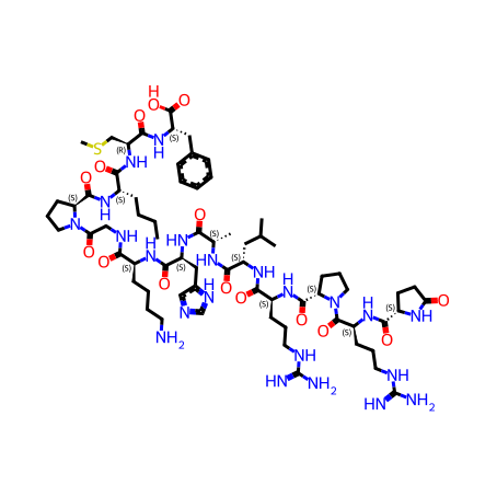 CCCC[C@H](NC(=O)[C@@H]1CCCN1C(=O)CNC(=O)[C@H](CCCCN)NC(=O)[C@H](Cc1cnc[nH]1)NC(=O)[C@H](C)NC(=O)[C@H](CC(C)C)NC(=O)[C@H](CCCNC(=N)N)NC(=O)[C@@H]1CCCN1C(=O)[C@H](CCCNC(=N)N)NC(=O)[C@@H]1CCC(=O)N1)C(=O)N[C@@H](CSC)C(=O)N[C@@H](Cc1ccccc1)C(=O)O